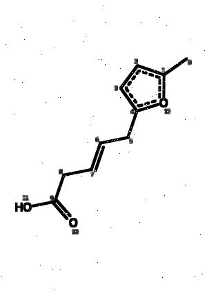 Cc1ccc(CC=CCC(=O)O)o1